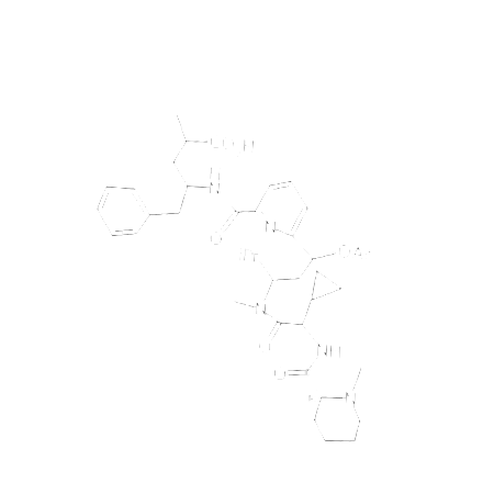 CC(=O)OC(CC(C(C)C)N(C)C(=O)C(NC(=O)[C@H]1CCCCN1C)C1CC1)c1cccc(C(=O)NC(Cc2ccccc2)CC(C)C(=O)O)n1